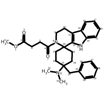 COC(=O)CCC(=O)N1CCc2c([nH]c3ccccc23)C12CCC(Cc1ccccc1)(N(C)C)CC2